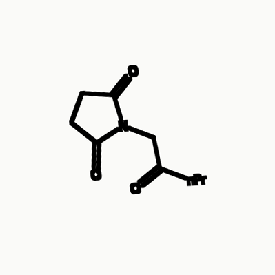 CCCC(=O)CN1C(=O)CCC1=O